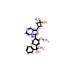 COc1cc(C(C)(O)c2ccccc2)ccc1C1=NC(C2CC(C)(O)C2)=C2C=NC=C[N+]12N